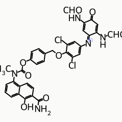 CN(C(=O)Oc1ccc(COc2c(Cl)cc(/N=C3\C=C(NC=O)C(=O)C=C3NC=O)cc2Cl)cc1)c1cccc2c(O)c(C(N)=O)ccc12